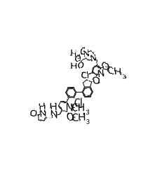 COc1nc(O[C@H]2CCc3c(-c4cccc(C5=CC=C(CNC[C@@H]6CCC(=O)N6)C(OC)N5C)c4Cl)cccc32)c(Cl)cc1CN1CCN(C)C(C(=O)O)C1